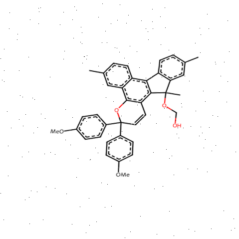 COc1ccc(C2(c3ccc(OC)cc3)C=Cc3c4c(c5ccc(C)cc5c3O2)-c2ccc(C)cc2C4(C)OCO)cc1